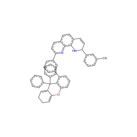 N#Cc1cccc(C2C=Cc3ccc4ccc(-c5cccc(-c6cccc7c6C(c6ccccc6)(c6ccccc6)C6=CCCC=C6O7)c5)nc4c3N2)c1